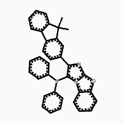 CC1(C)c2ccccc2-c2ccc(-c3nc4oc5ccccc5n4c3N(c3ccccc3)c3ccccc3)cc21